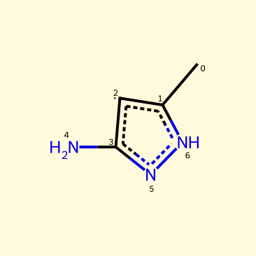 Cc1[c]c(N)n[nH]1